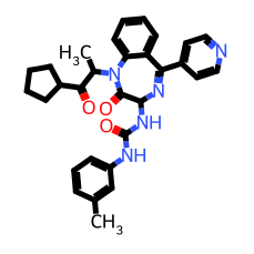 Cc1cccc(NC(=O)NC2N=C(c3ccncc3)c3ccccc3N(C(C)C(=O)C3CCCC3)C2=O)c1